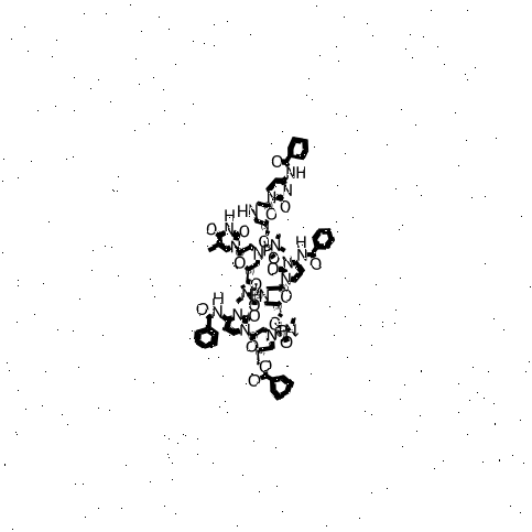 Cc1cn([C@H]2CN([P@@](=O)(OC[C@@H]3CNC[C@H](n4ccc(NC(=O)c5ccccc5)nc4=O)O3)N(C)C)C[C@@H](CO[P@@](=O)(N(C)C)N3C[C@@H](CO[P@@](=O)(N(C)C)N4C[C@@H](COC(=O)c5ccccc5)O[C@@H](n5ccc(NC(=O)c6ccccc6)nc5=O)C4)O[C@@H](n4ccc(NC(=O)c5ccccc5)nc4=O)C3)O2)c(=O)[nH]c1=O